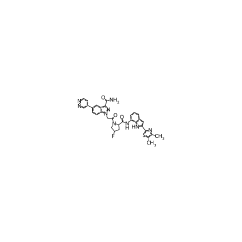 Cc1nc(-c2cc3cccc(NC(=O)C4CC(F)CN4C(=O)Cn4nc(C(N)=O)c5cc(-c6ccnnc6)ccc54)c3[nH]2)sc1C